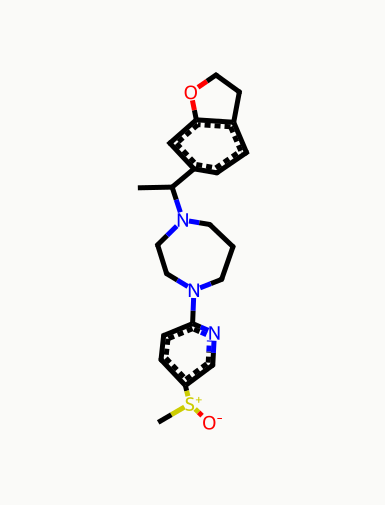 CC(c1ccc2c(c1)OCC2)N1CCCN(c2ccc([S+](C)[O-])cn2)CC1